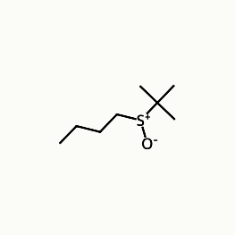 CCCC[S+]([O-])C(C)(C)C